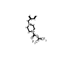 C=CC(=C)CN1CCN(C(=O)OC(C(F)(F)F)C(F)(F)F)CC1